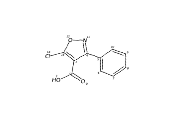 O=C(O)c1c(-c2ccccc2)noc1Cl